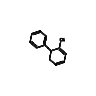 N#CC1=CC=CCC1c1ccccc1